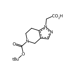 CC(C)(C)OC(=O)N1CCc2c(cnn2CC(=O)O)C1